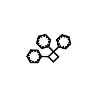 c1ccc(C2CCC2(c2ccccc2)c2ccccc2)cc1